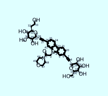 O=C(Cn1c2cc(C#C[C@H]3O[C@H](CO)[C@@H](O)[C@H](O)[C@@H]3O)ccc2c2ccc(C#C[C@H]3O[C@H](CCO)[C@@H](O)[C@H](O)[C@@H]3O)cc21)N1CCOCC1